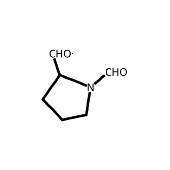 O=[C]C1CCCN1C=O